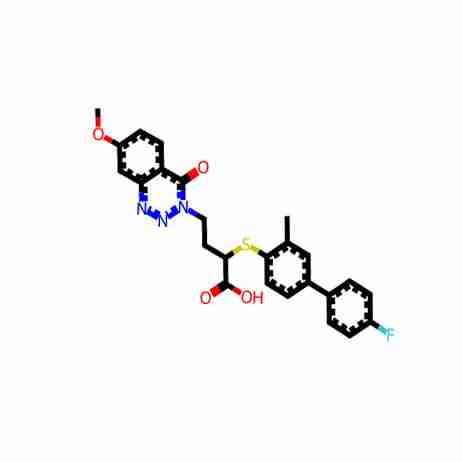 COc1ccc2c(=O)n(CCC(Sc3ccc(-c4ccc(F)cc4)cc3C)C(=O)O)nnc2c1